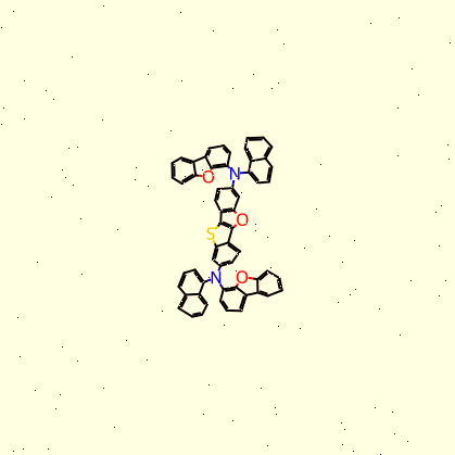 c1ccc2c(N(c3ccc4c(c3)oc3c5ccc(N(c6cccc7ccccc67)c6cccc7c6oc6ccccc67)cc5sc43)c3cccc4c3oc3ccccc34)cccc2c1